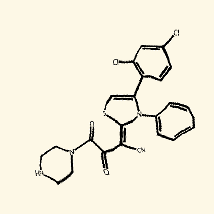 N#CC(C(=O)C(=O)N1CCNCC1)=C1SC=C(c2ccc(Cl)cc2Cl)N1c1ccccc1